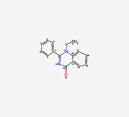 CCn1c(-c2ccccc2)nc(=O)c2ccccc21